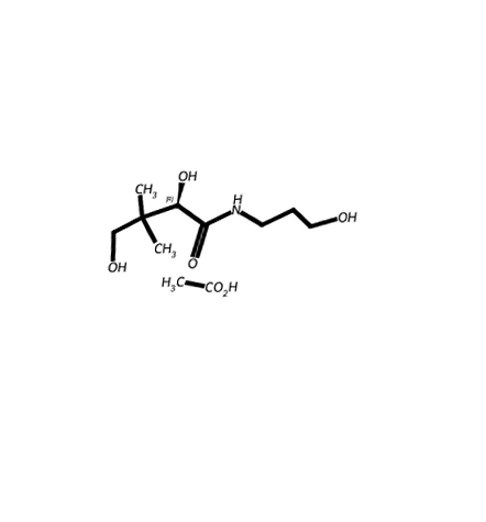 CC(=O)O.CC(C)(CO)[C@@H](O)C(=O)NCCCO